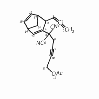 C=C=CC1C(C(C#N)(C#N)CC#CCOC(C)=O)=CC2C=CC1C2